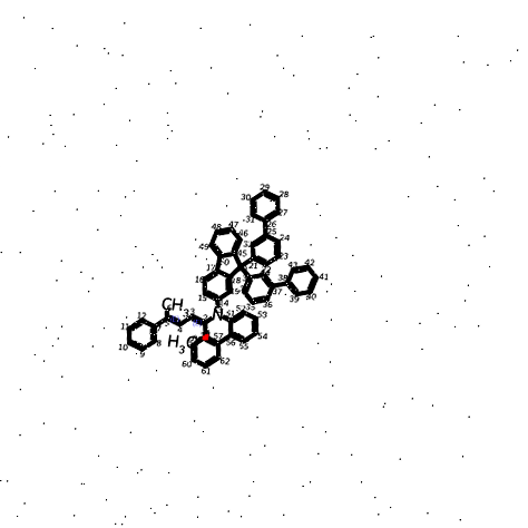 CC/C(=C\C=C(/C)c1ccccc1)N(c1ccc2c(c1)C(c1cccc(-c3ccccc3)c1)(c1cccc(-c3ccccc3)c1)c1ccccc1-2)c1ccccc1-c1ccccc1